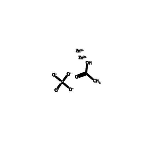 CC(=O)O.[O-][Si]([O-])([O-])[O-].[Zn+2].[Zn+2]